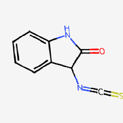 O=C1Nc2ccccc2C1N=C=S